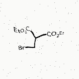 CCOC(=O)C(CBr)C(=O)OCC